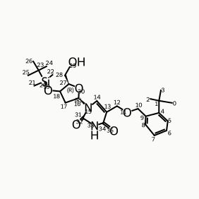 CC(C)(C)c1ccccc1COCc1cn([C@H]2CC(O[Si](C)(C)C(C)(C)C)[C@@H](CO)O2)c(=O)[nH]c1=O